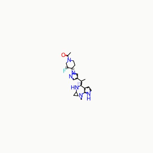 C=Nc1[nH]ccc1/C(NC1CC1)=C(\C)c1cnn([C@H]2CCN(C(C)=O)C[C@@H]2F)c1